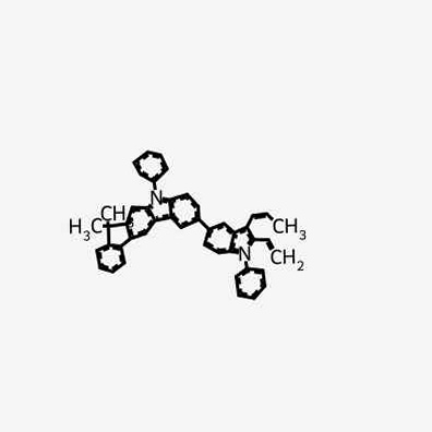 C=Cc1c(/C=C\C)c2cc(-c3ccc4c(c3)c3cc5c(cc3n4-c3ccccc3)C(C)(C)c3ccccc3-5)ccc2n1-c1ccccc1